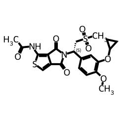 COc1ccc([C@@H](CS(C)(=O)=O)N2C(=O)c3csc(NC(C)=O)c3C2=O)cc1OC1CC1